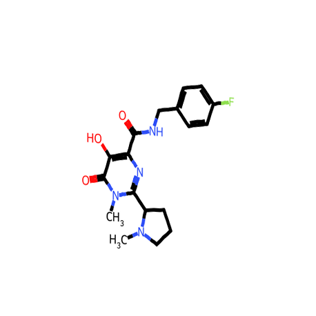 CN1CCCC1c1nc(C(=O)NCc2ccc(F)cc2)c(O)c(=O)n1C